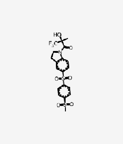 CC(O)(C(=O)N1CCc2cc(S(=O)(=O)c3ccc(S(C)(=O)=O)cc3)ccc21)C(F)(F)F